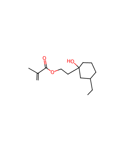 C=C(C)C(=O)OCCC1(O)CCCC(CC)C1